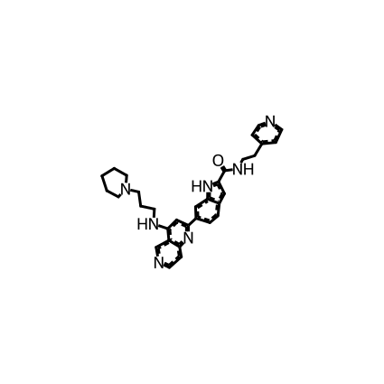 O=C(NCCc1ccncc1)c1cc2ccc(-c3cc(NCCCN4CCCCC4)c4cnccc4n3)cc2[nH]1